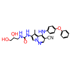 Cc1c(NC(=O)NC[C@@H](O)CO)cn2ncc(C#N)c(Nc3ccc(Oc4ccccc4)cc3)c12